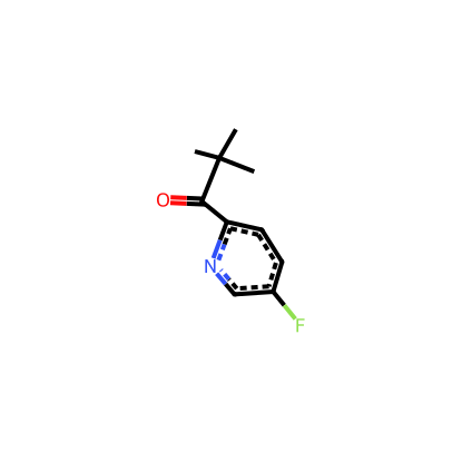 CC(C)(C)C(=O)c1ccc(F)cn1